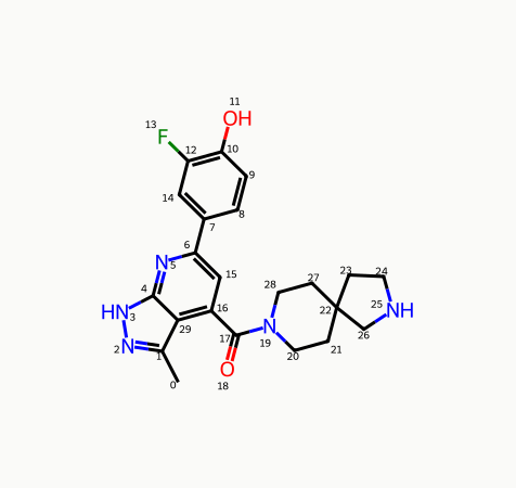 Cc1n[nH]c2nc(-c3ccc(O)c(F)c3)cc(C(=O)N3CCC4(CCNC4)CC3)c12